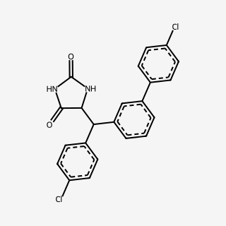 O=C1NC(=O)C(C(c2ccc(Cl)cc2)c2cccc(-c3ccc(Cl)cc3)c2)N1